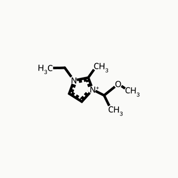 CCn1cc[n+](C(C)OC)c1C